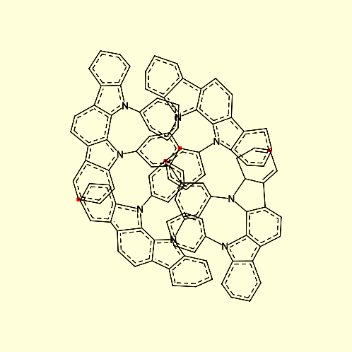 C1=CCC2C(=C1)c1ccc3c4ccccc4n(-c4ccccc4)c3c1N2c1cc(-c2cc(-n3c4ccccc4c4ccc5c6ccccc6n(-c6ccccc6)c5c43)cc(-n3c4ccccc4c4ccc5c6ccccc6n(-c6ccccc6)c5c43)c2)cc(-n2c3ccccc3c3ccc4c5ccccc5n(-c5ccccc5)c4c32)c1